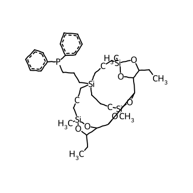 CCC1O[Si]2(C)CCC[Si]3(CCCP(c4ccccc4)c4ccccc4)CCC[Si]4(C)OC(CC)C(O4)C4O[Si](C)(CCC3)OC4C1O2